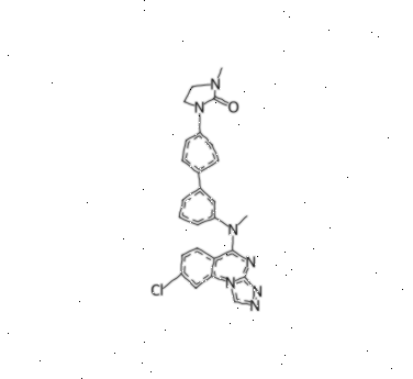 CN1CCN(c2ccc(-c3cccc(N(C)c4nc5nncn5c5cc(Cl)ccc45)c3)cc2)C1=O